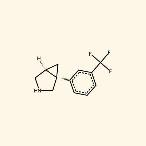 FC(F)(F)c1cccc([C@]23CNC[C@H]2C3)c1